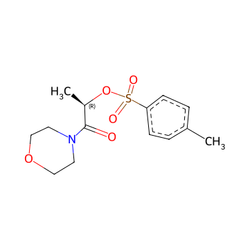 Cc1ccc(S(=O)(=O)O[C@H](C)C(=O)N2CCOCC2)cc1